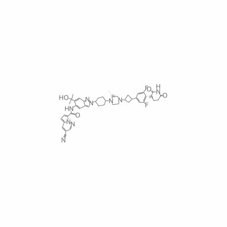 C[C@@H]1CN(C2CC(c3cc(F)c([C@H]4CCC(=O)NC4=O)c(F)c3)C2)CCN1C1CCC(n2cc3cc(NC(=O)c4ccc5cc(C#N)cnn45)c(C(C)(C)O)cc3n2)CC1